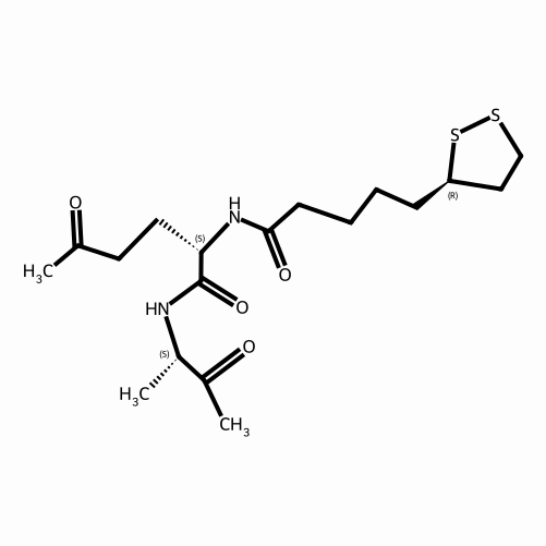 CC(=O)CC[C@H](NC(=O)CCCC[C@@H]1CCSS1)C(=O)N[C@@H](C)C(C)=O